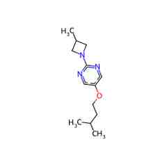 CC(C)CCOc1cnc(N2CC(C)C2)nc1